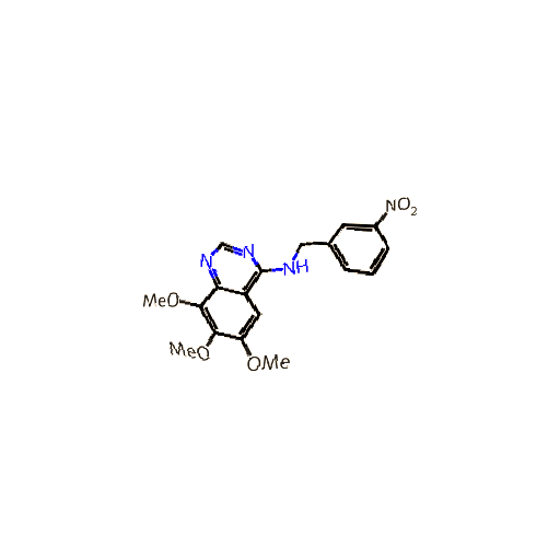 COc1cc2c(NCc3cccc([N+](=O)[O-])c3)ncnc2c(OC)c1OC